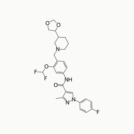 Cc1nn(-c2ccc(F)cc2)cc1C(=O)Nc1ccc(CN2CCCC(C3COCO3)C2)c(OC(F)F)c1